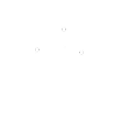 C=CCC(=O)C(=O)OC